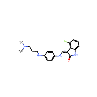 CN(C)CCCNc1ccc(N/C=C2\C(=O)Nc3cccc(F)c32)cc1